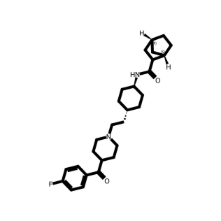 O=C(c1ccc(F)cc1)C1CCN(CC[C@H]2CC[C@H](NC(=O)C3C[C@@H]4CC[C@H]3C4)CC2)CC1